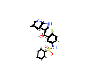 Cc1cnc2[nH]cc(C(=O)c3cc(NS(=O)(=O)C4CCCCC4)ccc3F)c2c1